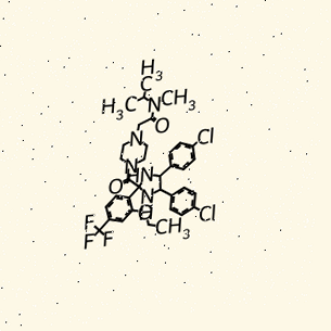 CCOc1cc(C(F)(F)F)ccc1C1(C(=O)N2CCN(CC(=O)N(C)C(C)C)CC2)NC(c2ccc(Cl)cc2)C(c2ccc(Cl)cc2)N1